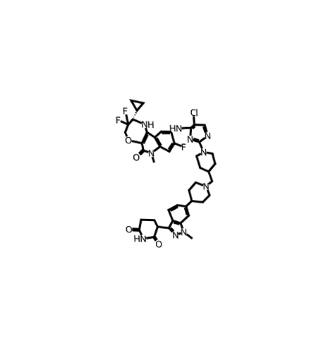 Cn1nc(C2CCC(=O)NC2=O)c2ccc(C3CCN(CC4CCN(c5ncc(Cl)c(Nc6cc7c8c(c(=O)n(C)c7cc6F)OCC(F)(F)[C@H](C6CC6)N8)n5)CC4)CC3)cc21